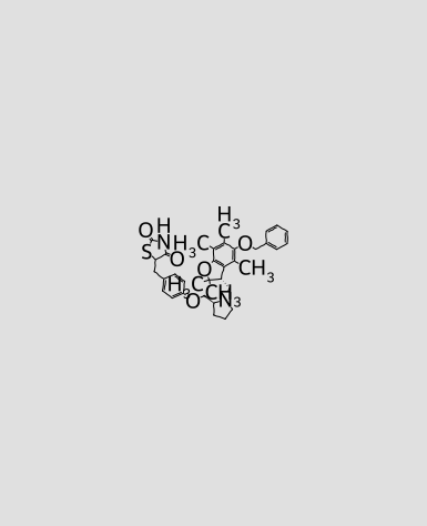 Cc1c(C)c2c(c(C)c1OCc1ccccc1)[C@H](CN1CCC[C@H]1COc1ccc(CC3SC(=O)NC3=O)cc1)C(C)(C)O2